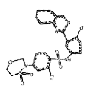 O=S(=O)(Nc1ccc(Cl)c(-c2ncc3ccccc3n2)c1)c1ccc(N2COCCS2(=O)=O)cc1Cl